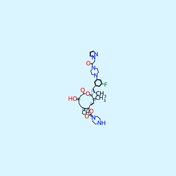 C/C(=C\c1cc(F)cc(N2CCN(C(=O)Cn3cccn3)CC2)c1)[C@H]1OC(=O)C[C@H](O)CC[C@H](C)[C@@H](OC(=O)N2CCNCC2)/C=C/[C@@H]1C